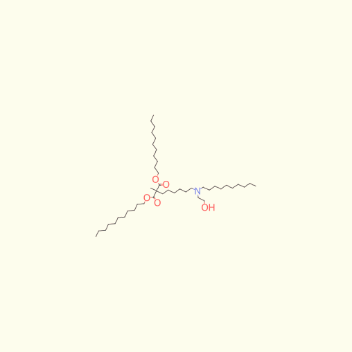 CCCCCCCCCCCOC(=O)C(C)(CCCCCCN(CCO)CCCCCCCCCC)C(=O)OCCCCCCCCCCC